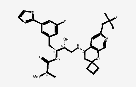 CO[C@H](C)C(=O)N[C@@H](Cc1cc(F)cc(-c2nccs2)c1)[C@H](O)CN[C@H]1CC2(CCC2)Oc2cnc(CC(C)(C)F)cc21